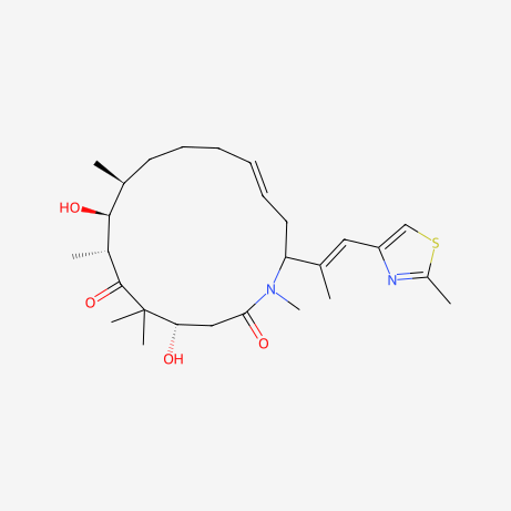 C/C(=C\c1csc(C)n1)C1C/C=C/CCC[C@H](C)[C@H](O)[C@@H](C)C(=O)C(C)(C)[C@@H](O)CC(=O)N1C